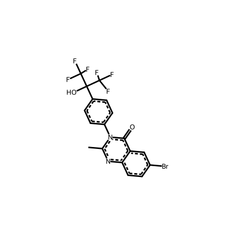 Cc1nc2ccc(Br)cc2c(=O)n1-c1ccc(C(O)(C(F)(F)F)C(F)(F)F)cc1